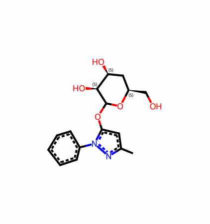 Cc1cc(OC2O[C@H](CO)C[C@H](O)[C@@H]2O)n(-c2ccccc2)n1